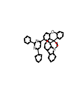 c1ccc(-c2cc(-c3ccc4c(c3)C3(c5ccccc5O4)c4ccccc4-n4c5ccccc5c5cccc3c54)nc(-c3ccccc3)n2)cc1